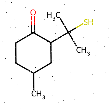 CC1CCC(=O)C(C(C)(C)S)C1